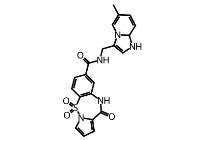 CC1=CN2C(CNC(=O)c3ccc4c(c3)NC(=O)c3cccn3S4(=O)=O)=CNC2C=C1